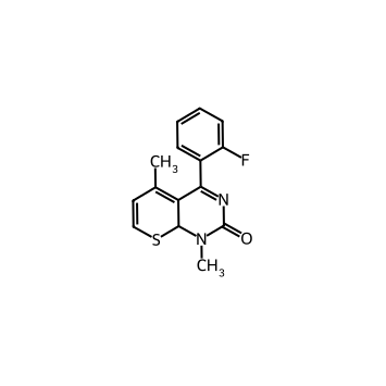 CC1=C2C(c3ccccc3F)=NC(=O)N(C)C2SC=C1